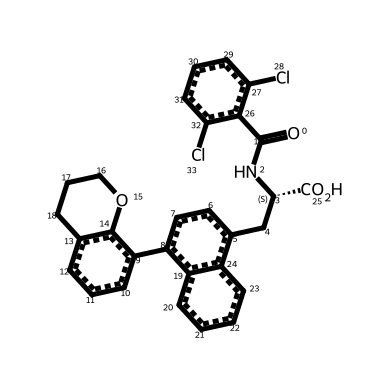 O=C(N[C@@H](Cc1ccc(-c2cccc3c2OCCC3)c2ccccc12)C(=O)O)c1c(Cl)cccc1Cl